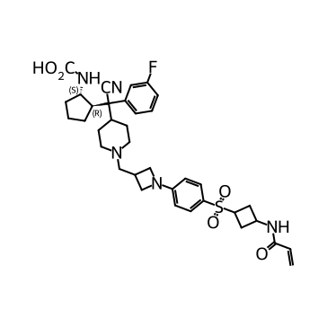 C=CC(=O)NC1CC(S(=O)(=O)c2ccc(N3CC(CN4CCC(C(C#N)(c5cccc(F)c5)[C@H]5CCC[C@@H]5NC(=O)O)CC4)C3)cc2)C1